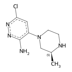 C[C@H]1CN(c2cc(Cl)nnc2N)CCN1